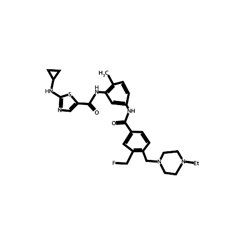 CCN1CCN(Cc2ccc(C(=O)Nc3ccc(C)c(NC(=O)c4cnc(NC5CC5)s4)c3)cc2CF)CC1